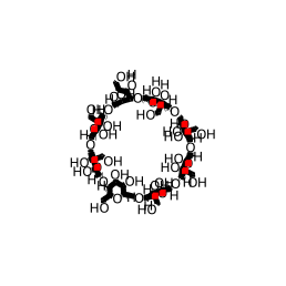 OCC1O[C@@H]2O[C@@H]3C(CO)O[C@H](O[C@@H]4C(CO)O[C@H](O[C@@H]5C(CO)O[C@H](O[C@@H]6C(CO)OC(O[C@@H]7C(CO)O[C@H](OC8C(O)[C@@H](OC(CO)[C@H]8O)O[C@@H]8C(CO)O[C@H](OC1=C(O)C2O)C(O)C8O)C(O)C7O)[C@@H](O)C6O)C(O)C5O)C(O)[C@H]4O)C(O)C3O